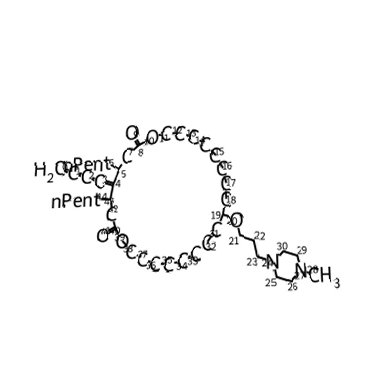 C=C=C=C=C1C(CCCCC)CC(=O)OCCCCCCCCC(OCCCN2CCN(C)CC2)CCCCCCCCOC(=O)CC1CCCCC